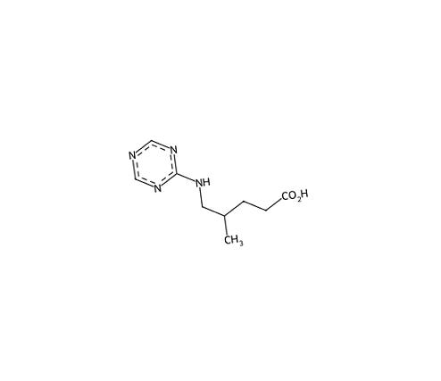 CC(CCC(=O)O)CNc1ncncn1